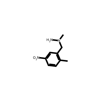 Cc1ccc([N+](=O)[O-])cc1CN(C)N